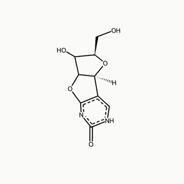 O=c1nc2c(c[nH]1)[C@@H]1O[C@H](CO)C(O)C1O2